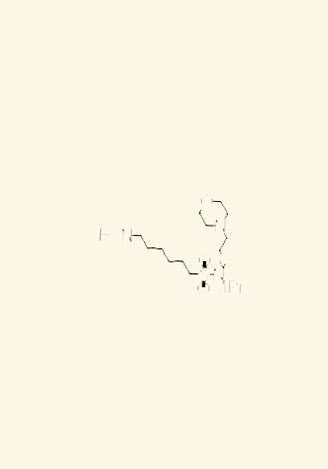 CC(C)N(OCCN1CCOCC1)S(=O)(=O)CCCCCCN